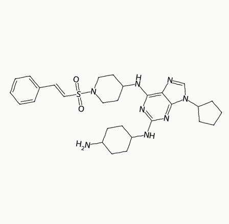 NC1CCC(Nc2nc(NC3CCN(S(=O)(=O)/C=C/c4ccccc4)CC3)c3ncn(C4CCCC4)c3n2)CC1